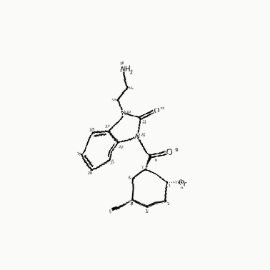 CC(C)[C@@H]1CC[C@@H](C)C[C@H]1C(=O)n1c(=O)n(CCN)c2ccccc21